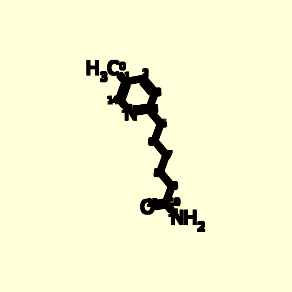 Cc1ccc(CCCCCC(N)=O)nc1